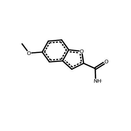 COc1ccc2oc(C([NH])=O)cc2c1